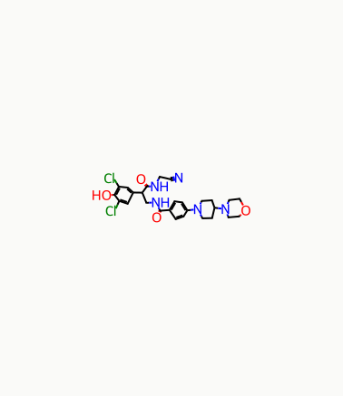 N#CCNC(=O)C(CNC(=O)c1ccc(N2CCC(N3CCOCC3)CC2)cc1)c1cc(Cl)c(O)c(Cl)c1